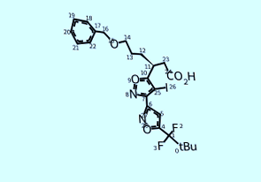 CC(C)(C)C(F)(F)c1cc(-c2noc([C@@H](CCCOCc3ccccc3)CC(=O)O)c2I)no1